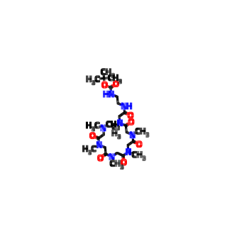 CN(C)CC(=O)N(C)CC(=O)N(C)CC(=O)N(C)CC(=O)N(C)CC(=O)N(C)CC(=O)NCCNC(=O)OC(C)(C)C